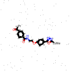 CSc1nnc(-c2ccc(OCCNC(=O)c3ccc(C(=O)C(C)C)cc3)cc2)o1